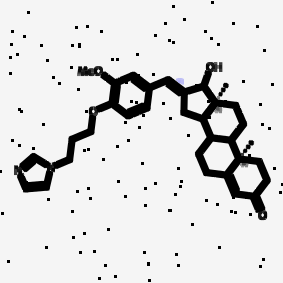 COc1cc(/C=C2\CC3C4CCC5=CC(=O)CC[C@]5(C)C4CC[C@]3(C)C2O)ccc1OCCCn1ccnc1